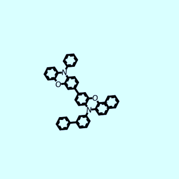 c1ccc(-c2cccc(N3c4ccc(-c5ccc6c(c5)Oc5ccccc5N6c5ccccc5)cc4Oc4c3ccc3ccccc43)c2)cc1